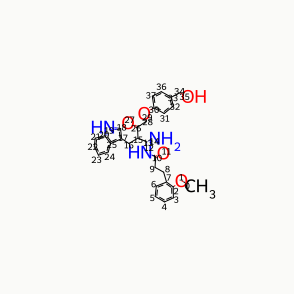 COc1ccccc1CCC(=O)N[C@@H](N)C(Cc1c[nH]c2ccccc12)C(=O)COc1ccc(CO)cc1